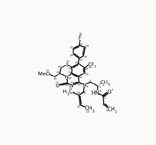 C=CC(=O)N[C@@H](C)CN(C/C(C)=C\C)c1nc(=O)n2c3c(c(-c4ccc(F)cc4)c(C(F)(F)F)cc13)SC[C@@H]2COC